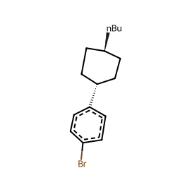 CCCC[C@H]1CC[C@H](c2ccc(Br)cc2)CC1